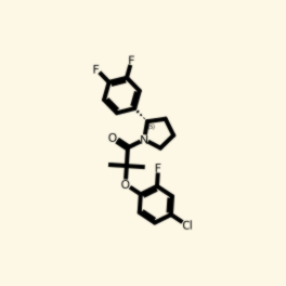 CC(C)(Oc1ccc(Cl)cc1F)C(=O)N1CCC[C@H]1c1ccc(F)c(F)c1